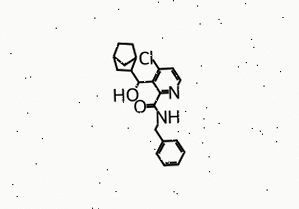 O=C(NCc1ccccc1)c1nccc(Cl)c1C(O)C1CC2CCC1C2